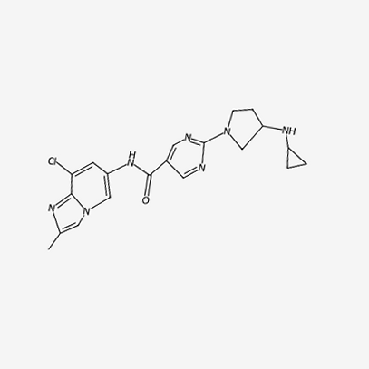 Cc1cn2cc(NC(=O)c3cnc(N4CCC(NC5CC5)C4)nc3)cc(Cl)c2n1